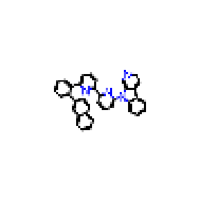 c1cc(-c2cccc(-n3c4ccccc4c4ccncc43)n2)nc(-c2ccccc2-c2ccc3ccccc3c2)c1